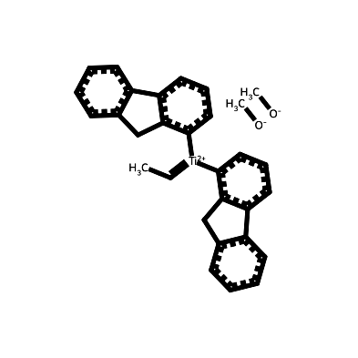 C[CH]=[Ti+2]([c]1cccc2c1Cc1ccccc1-2)[c]1cccc2c1Cc1ccccc1-2.C[O-].C[O-]